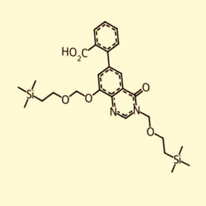 C[Si](C)(C)CCOCOc1cc(-c2ccccc2C(=O)O)cc2c(=O)n(COCC[Si](C)(C)C)cnc12